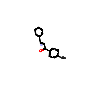 CC(C)(C)c1ccc(C(=O)/C=C/c2ccccc2)cc1